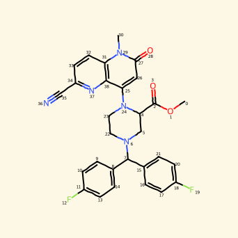 COC(=O)C1CN(C(c2ccc(F)cc2)c2ccc(F)cc2)CCN1c1cc(=O)n(C)c2ccc(C#N)nc12